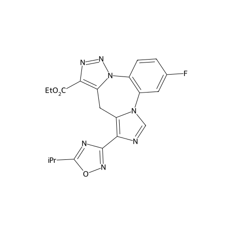 CCOC(=O)c1nnn2c1Cc1c(-c3noc(C(C)C)n3)ncn1-c1cc(F)ccc1-2